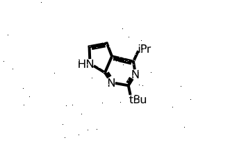 CC(C)c1nc(C(C)(C)C)nc2[nH]ccc12